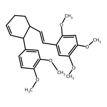 COc1cc(OC)c(OC)cc1C=CC1CCC=CC1c1ccc(OC)c(OC)c1